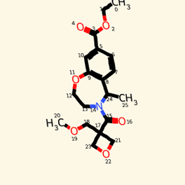 CCOC(=O)c1ccc2c(c1)OCCN(C(=O)C1(COC)COC1)C2C